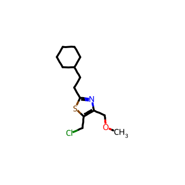 COCc1nc(CCC2CCCCC2)sc1CCl